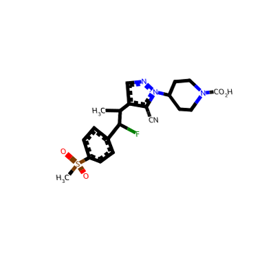 CC(c1cnn(C2CCN(C(=O)O)CC2)c1C#N)C(F)c1ccc(S(C)(=O)=O)cc1